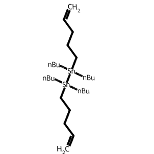 C=CCC[CH2][Sn]([CH2]CCC)([CH2]CCC)[Sn]([CH2]CCC)([CH2]CCC)[CH2]CCC=C